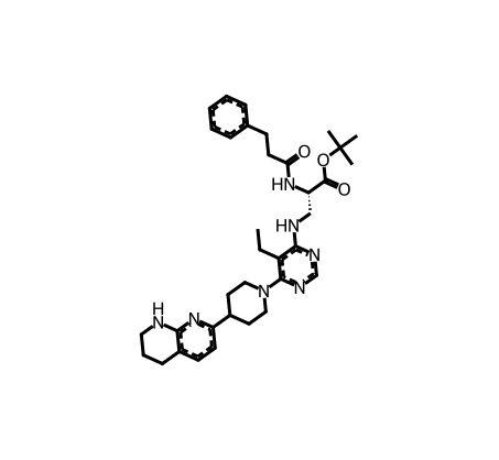 CCc1c(NC[C@H](NC(=O)CCc2ccccc2)C(=O)OC(C)(C)C)ncnc1N1CCC(c2ccc3c(n2)NCCC3)CC1